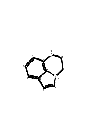 c1cc2c3c(c1)ccn3CCS2